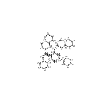 O=[N+]([O-])c1ccc2ccccc2c1N(c1ccc2ccccc2c1)c1nc(-c2ccccc2)nc(-c2ccccc2)n1